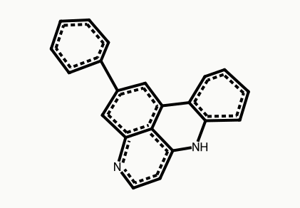 c1ccc(-c2cc3c4c(ccnc4c2)Nc2ccccc2-3)cc1